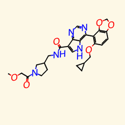 COCC(=O)N1CCC(CNC(=O)c2c[nH]c3c(-c4c(OCC5CC5)ccc5c4OCO5)ncnc23)C1